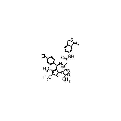 Cc1sc2c(c1C)C(c1ccc(Cl)cc1)=N[C@@H](CC(=O)Nc1ccc3c(c1)C(=O)SC3)c1nnc(C)n1-2